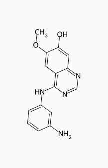 COc1cc2c(Nc3cccc(N)c3)ncnc2cc1O